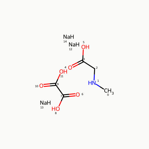 CNCC(=O)O.O=C(O)C(=O)O.[NaH].[NaH].[NaH]